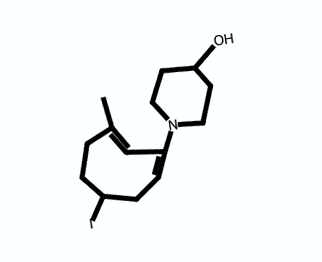 C/C1=C\C(N2CCC(O)CC2)=C/CC(I)CC1